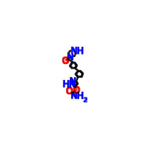 NC(=O)Oc1cc(-c2cccc(-c3ccc(C(=O)N4CCNCC4)cc3)c2)n[nH]1